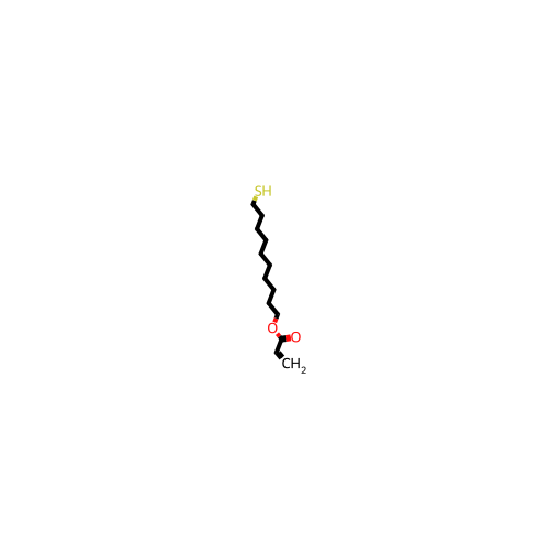 C=CC(=O)OCCCCCCCCCCS